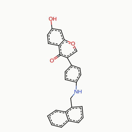 O=c1c(-c2ccc(NCc3cccc4ccccc34)cc2)coc2cc(O)ccc12